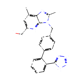 CCCCc1nc2c(C)cc(CO)nc2n1Cc1ccc(-c2ccccc2-c2nnn[nH]2)cc1